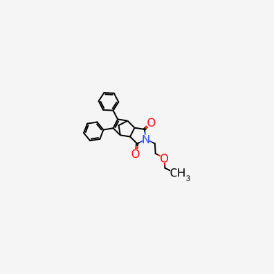 CCOCCN1C(=O)C2C3CC(C(c4ccccc4)=C3c3ccccc3)C2C1=O